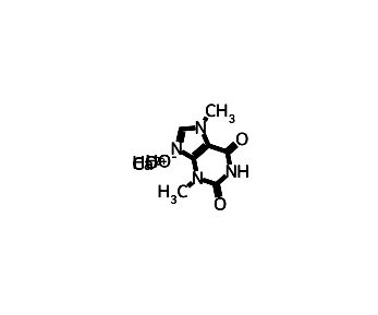 Cn1cnc2c1c(=O)[nH]c(=O)n2C.[Ca+2].[OH-].[OH-]